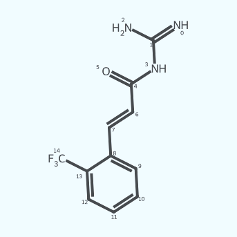 N=C(N)NC(=O)C=Cc1ccccc1C(F)(F)F